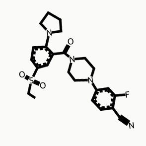 CCS(=O)(=O)c1ccc(N2CCCC2)c(C(=O)N2CCN(c3ccc(C#N)c(F)c3)CC2)c1